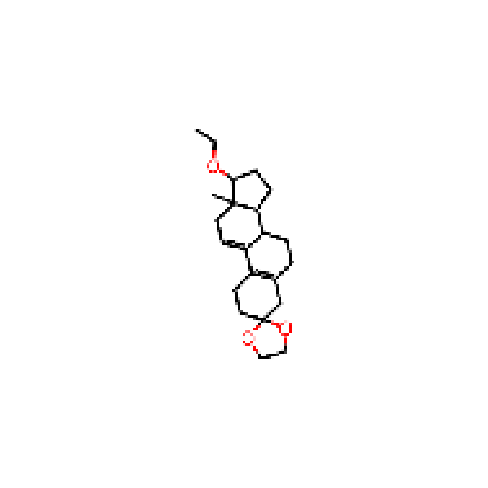 CCOC1CCC2C3CCC4=C(CCC5(C4)OCCO5)C3=CCC12C